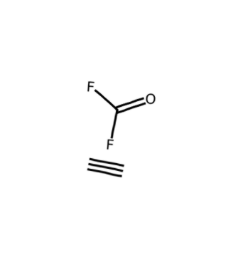 C#C.O=C(F)F